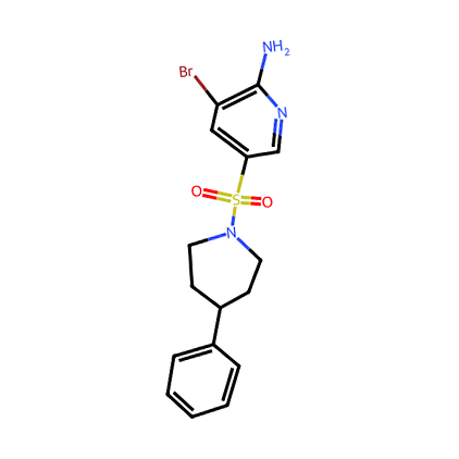 Nc1ncc(S(=O)(=O)N2CCC(c3ccccc3)CC2)cc1Br